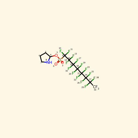 O=S(=O)(OC1CCCN1)C(F)(F)C(F)(F)C(F)(F)C(F)(F)C(F)(F)C(F)(F)C(F)(F)C(F)(F)F